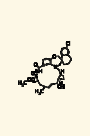 COC[C@@H]1C[C@H](C)/C=C/C(O)[C@@H]2CC[C@H]2CN2C[C@@]3(CCCc4cc(Cl)ccc43)COc3ccc(cc32)C(=O)NS1(=O)=O